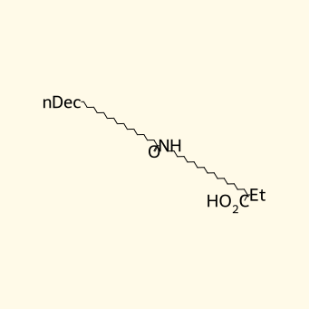 CCCCCCCCCCCCCCCCCCCCCCCCCC(=O)NCCCCCCCCCCCCCCCCC(CC)C(=O)O